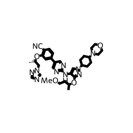 COCCC(C)Oc1nn(C2CCC(N3CCOCC3)CC2)cc1Nc1ncc(-c2ccc(C#N)c(O[C@@H](C)Cn3cncn3)c2)cn1